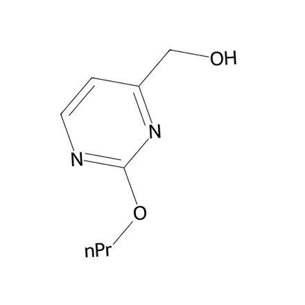 CCCOc1nccc(CO)n1